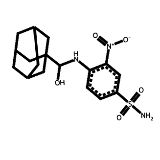 NS(=O)(=O)c1ccc(NC(O)C23CC4CC(CC(C4)C2)C3)c([N+](=O)[O-])c1